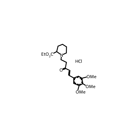 CCOC(=O)C1CCCCN1CCC(=O)C=Cc1cc(OC)c(OC)c(OC)c1.Cl